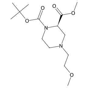 COCCN1CCN(C(=O)OC(C)(C)C)[C@@H](C(=O)OC)C1